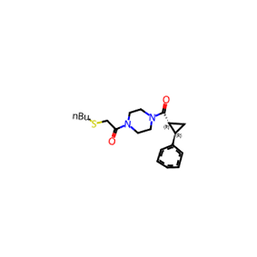 CCCCSCC(=O)N1CCN(C(=O)[C@@H]2C[C@H]2c2ccccc2)CC1